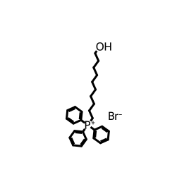 OCCCCCCCCCC[P+](c1ccccc1)(c1ccccc1)c1ccccc1.[Br-]